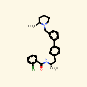 O=C(N[C@@H](Cc1ccc(-c2cccc(CN3CCCCC3C(=O)O)c2)cc1)C(=O)O)c1ccccc1Cl